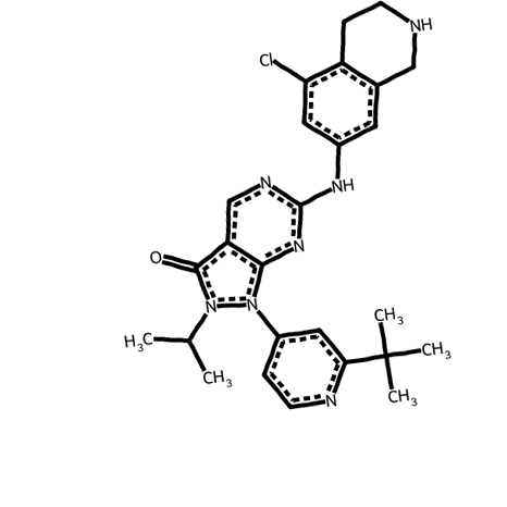 CC(C)n1c(=O)c2cnc(Nc3cc(Cl)c4c(c3)CNCC4)nc2n1-c1ccnc(C(C)(C)C)c1